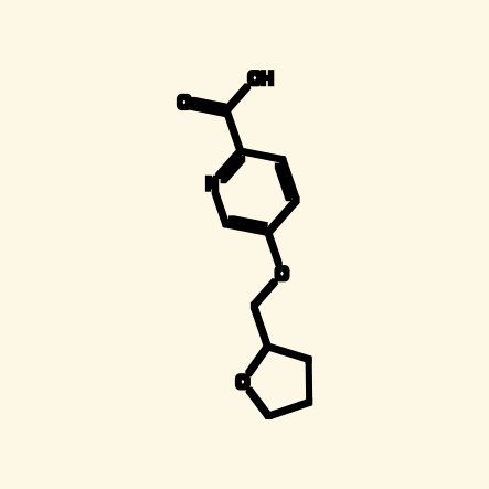 O=C(O)c1ccc(OCC2CCCO2)cn1